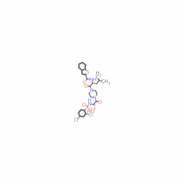 C=C(C)C[C@H](NC(=O)c1cc2ccccc2s1)C(=O)N1CCN(C(=O)[C@H](CO)NS(=O)(=O)c2ccc(Cl)cc2Cl)CC1